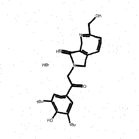 Br.CC(C)(C)c1cc(C(=O)CN2Cc3ccc(CO)nc3C2=N)cc(C(C)(C)C)c1O